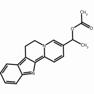 CC(=O)OC(C)C1=CN2CCC3=c4ccccc4=NC3=C2C=C1